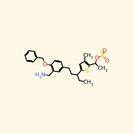 CCC(CCc1ccc(OCc2ccccc2)c(CN)c1)c1cc(C)c(C(C)O[SH](=O)=O)s1